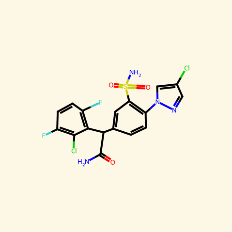 NC(=O)C(c1ccc(-n2cc(Cl)cn2)c(S(N)(=O)=O)c1)c1c(F)ccc(F)c1Cl